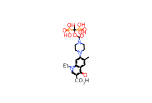 CCn1cc(C(=O)O)c(=O)c2cc(C)c(N3CCN(C(=O)OC(C)(P(=O)(O)O)P(=O)(O)O)CC3)cc21